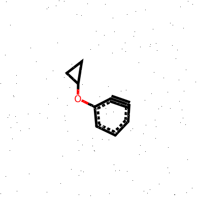 c1cccc(OC2CC2)c#1